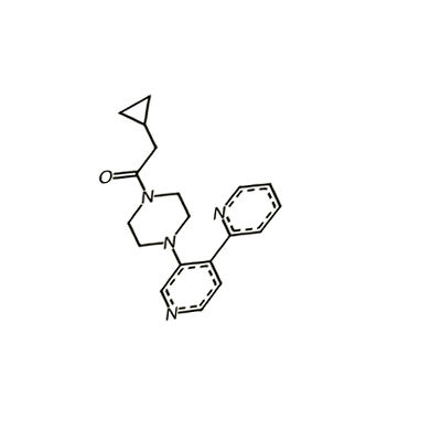 O=C(CC1CC1)N1CCN(c2cnccc2-c2ccccn2)CC1